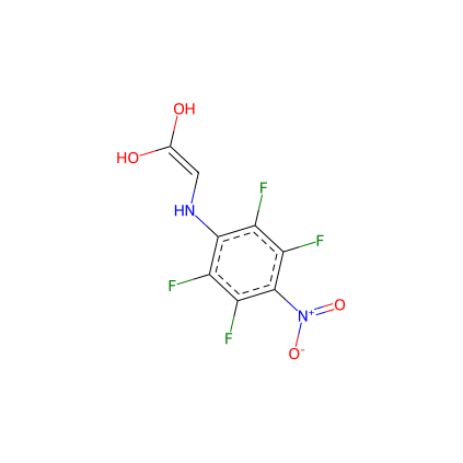 O=[N+]([O-])c1c(F)c(F)c(NC=C(O)O)c(F)c1F